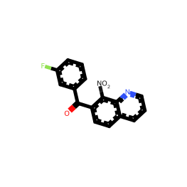 O=C(c1cccc(F)c1)c1ccc2cccnc2c1[N+](=O)[O-]